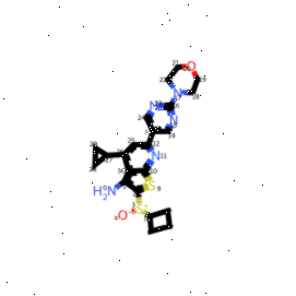 Nc1c([S+]([O-])C2CCC2)sc2nc(-c3cnc(N4CCOCC4)nc3)cc(C3CC3)c12